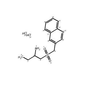 CCC(N)CS(=O)(=O)Cc1cnc2ccccc2c1.Cl.Cl